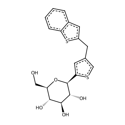 OC[C@H]1O[C@@H](c2cc(Cc3cc4ccccc4s3)cs2)[C@H](O)[C@@H](O)[C@@H]1O